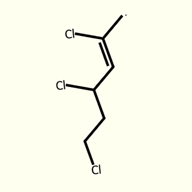 [CH2]/C(Cl)=C/C(Cl)CCCl